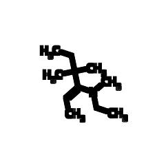 C/C=C(\N(C)CC)C(C)(C)CC